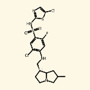 CC1CC2[C@H](CNc3cc(F)c(S(=O)(=O)Nc4ncc(Cl)s4)cc3Cl)CCN2C1